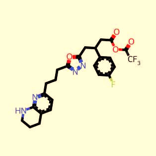 O=C(CC(Cc1nnc(CCCc2ccc3c(n2)NCCC3)o1)c1ccc(F)cc1)OC(=O)C(F)(F)F